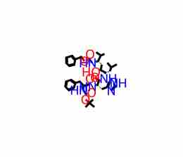 CC(C)C[C@H](NC(=O)[C@H](Cc1c[nH]cn1)NC(=O)C(Cc1ccccc1)NC(=O)OC(C)(C)C)[C@@H](O)C[C@H](NC(=O)OCc1ccccc1)C(C)C